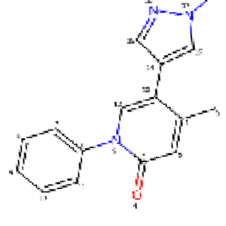 Cc1cc(=O)n(-c2ccccc2)cc1-c1cnn(C)c1